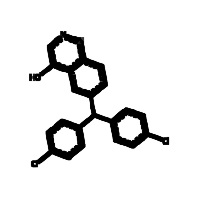 Oc1cnnc2ccc(C(c3ccc(Cl)cc3)c3ccc(Cl)cc3)cc12